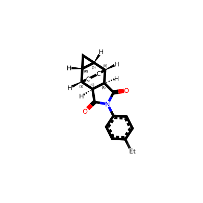 CCc1ccc(N2C(=O)[C@@H]3[C@@H]4CC[C@@H]([C@@H]5C[C@@H]54)[C@@H]3C2=O)cc1